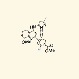 COC(=O)N1C[C@@H]2C[C@H]1CN2c1nc(Nc2cc(C)n[nH]2)c2cccc(OC)c2n1